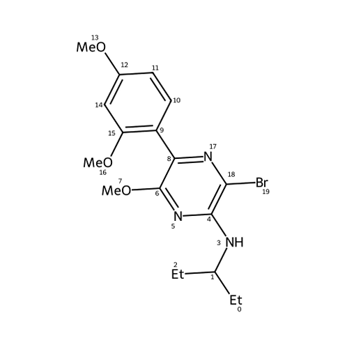 CCC(CC)Nc1nc(OC)c(-c2ccc(OC)cc2OC)nc1Br